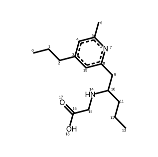 CCCc1cc(C)nc(CC(CCC)NCC(=O)O)c1